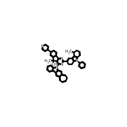 CC1CC=Cc2c1c1c(n2-c2ccccc2)CCC(c2nc3c(c(-n4c5ccccc5c5cc6c(cc54)=CCC=CC=6)n2)C(C)(C)c2cc(-c4ccncc4)ccc2-3)=C1